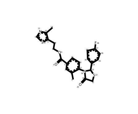 Cc1cc(C(=O)OCCc2scnc2C)ccc1N1C(=O)CSC1c1ccc(F)cc1